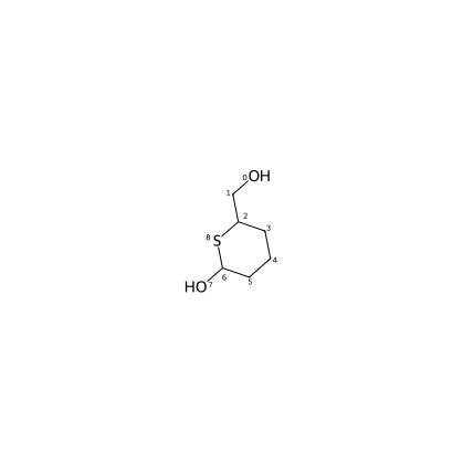 OCC1CCCC(O)S1